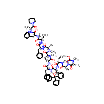 CC(C)C[C@@H](C(=O)N(C)[C@H](C(=O)N[C@@H](Cc1ccccc1)C(=O)N[C@@H](CC(=O)O)C(=O)N(C)[C@@H](Cc1ccccc1)C(=O)N[C@@H](C)C(=O)N1CCCCC1)C(C)C)N(C)C(=O)CNC(=O)[C@H](Cc1ccccc1)N(C)C(=O)[C@@H](NC(=O)[C@H](CC(C)C)N(C)C(=O)[C@@H](NC(=O)[C@H](C)N(C)C(=O)OC(C)(C)C)C(C)C)[C@@H](C)OC(c1ccccc1)(c1ccccc1)c1ccccc1